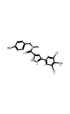 CN(Cc1ccc(C(C)(C)C)cc1)C(=O)c1cc(-c2cc(Cl)c(O)c(Cl)c2)n[nH]1